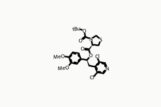 COc1ccc([C@H](Cc2c(Cl)cncc2Cl)OC(=O)[C@@H]2CSCN2C(=O)OC(C)(C)C)cc1OC